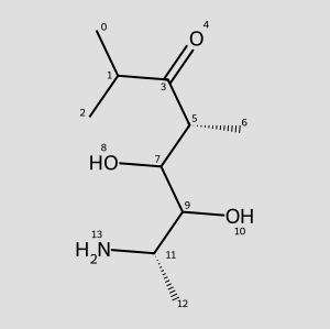 CC(C)C(=O)[C@H](C)C(O)C(O)[C@H](C)N